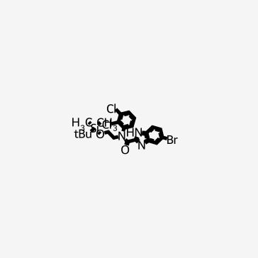 CC(C)(C)[Si](C)(C)OCCN(C(=O)c1nc2cc(Br)ccc2[nH]1)c1cccc(Cl)c1Cl